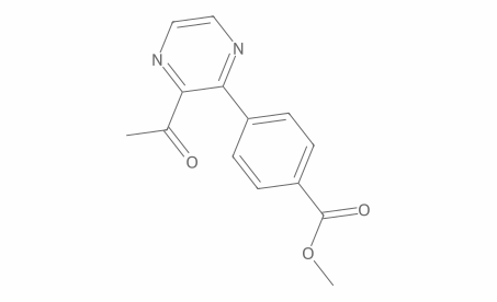 COC(=O)c1ccc(-c2nccnc2C(C)=O)cc1